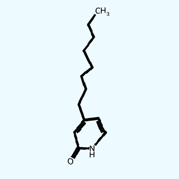 CCCCCCCCc1cc[nH]c(=O)c1